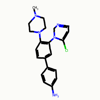 CN1CCN(c2ccc(-c3ccc(N)cc3)cc2N2CN=CC=C2Cl)CC1